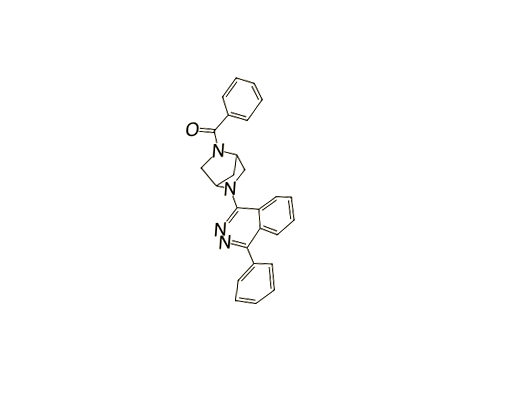 O=C(c1ccccc1)N1CC2CC1CN2c1nnc(-c2ccccc2)c2ccccc12